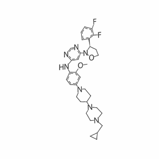 COc1cc(N2CCC(N3CCN(CC4CC4)CC3)CC2)ccc1Nc1cc(N2OCC[C@@H]2c2cccc(F)c2F)ncn1